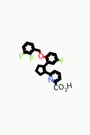 O=C(O)c1cccc(C2=C(c3cc(F)ccc3OCc3cccc(F)c3F)CCC2)n1